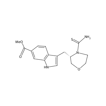 COC(=O)c1ccc2c(C[C@H]3COCCN3C(N)=S)c[nH]c2c1